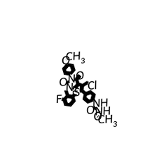 CONC(=O)Nc1ccc(-c2sc3c(c2CCl)c(=O)n(-c2ccc(OC)cc2)c(=O)n3Cc2c(F)cccc2F)cc1